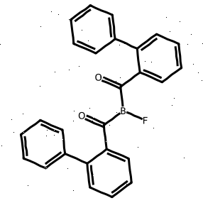 O=C(B(F)C(=O)c1ccccc1-c1ccccc1)c1ccccc1-c1ccccc1